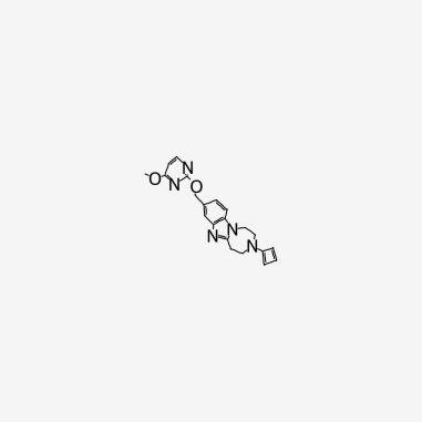 COc1ccnc(OCc2ccc3c(c2)nc2n3CCN(C3=CC=C3)CC2)n1